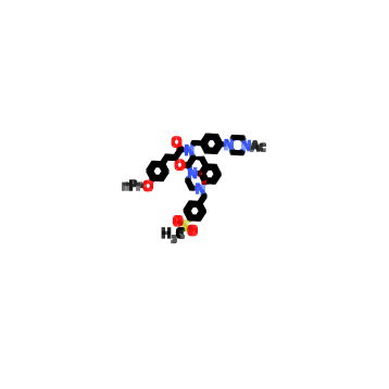 CCCOc1ccc(/C=C/C(=O)N(Cc2ccc(N3CCN(C(C)=O)CC3)cc2)[C@@H](Cc2ccccc2)C(=O)N2CCN(Cc3ccc(S(C)(=O)=O)cc3)CC2)cc1